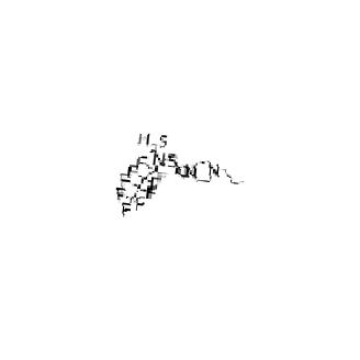 CCCN1CCN(OSN(C)C(F)(F)C(F)(F)C(F)(F)C(F)(F)F)CC1.S